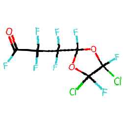 O=C(F)C(F)(F)C(F)(F)C1(F)OC(F)(Cl)C(F)(Cl)O1